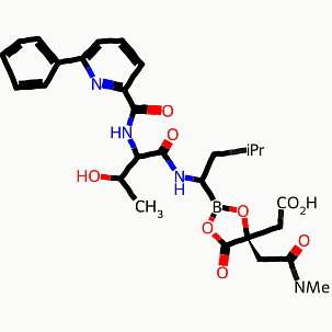 CNC(=O)C[C@]1(CC(=O)O)OB(C(CC(C)C)NC(=O)C(NC(=O)c2cccc(-c3ccccc3)n2)C(C)O)OC1=O